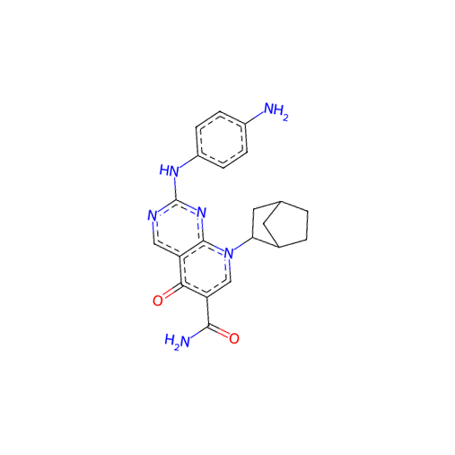 NC(=O)c1cn(C2CC3CCC2C3)c2nc(Nc3ccc(N)cc3)ncc2c1=O